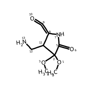 COC1(OC)C(=O)NC(=C=O)C1CN